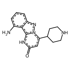 Nc1cccc2nn3c(C4CCNCC4)cc(=O)[nH]c3c12